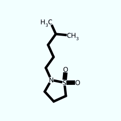 CC(C)CCCN1CCCS1(=O)=O